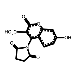 O=C(O)c1c(N2C(=O)CCC2=O)c2ccc(O)cc2oc1=O